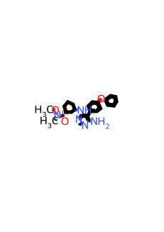 CON(C)C(=O)[C@@H]1CCCC(Nc2ncnc(N)c2-c2ccc(Oc3ccccc3)cc2)C1